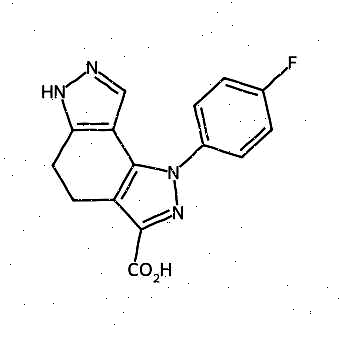 O=C(O)c1nn(-c2ccc(F)cc2)c2c1CCc1[nH]ncc1-2